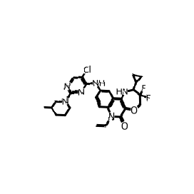 CCn1c(=O)c2c(c3cc(Nc4nc(N5CCCC(C)C5)ncc4Cl)ccc31)NC(C1CC1)C(F)(F)CO2